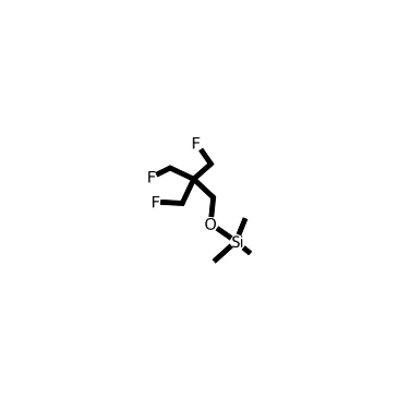 C[Si](C)(C)OCC(CF)(CF)CF